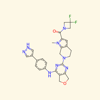 Cn1c(C(=O)N2CC(F)(F)C2)cc2c1CN(c1nc3c(c(Nc4ccc(-c5cn[nH]c5)cc4)n1)COC3)CC2